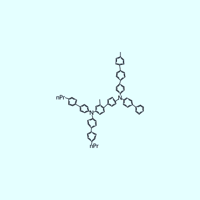 CCCc1ccc(-c2ccc(N(c3ccc(-c4ccc(CCC)cc4)cc3)c3ccc(-c4ccc(N(c5ccc(-c6ccccc6)cc5)c5ccc(-c6ccc(-c7ccc(C)cc7)cc6)cc5)cc4)c(C)c3)cc2)cc1